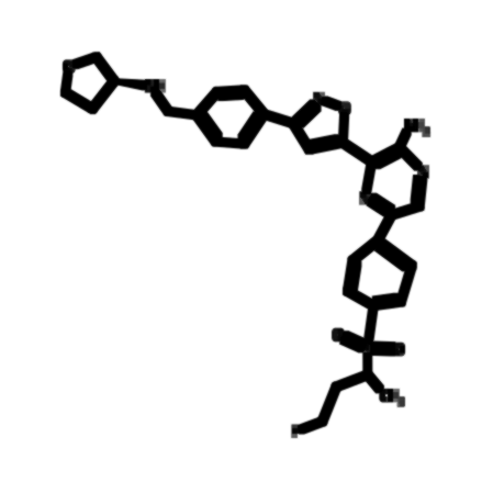 CC(CCF)S(=O)(=O)c1ccc(-c2cnc(N)c(-c3cc(-c4ccc(CN[C@H]5CCOC5)cc4)no3)n2)cc1